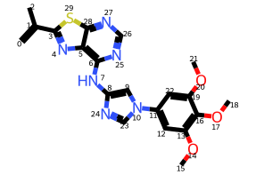 C=C(C)c1nc2c(Nc3cn(-c4cc(OC)c(OC)c(OC)c4)cn3)ncnc2s1